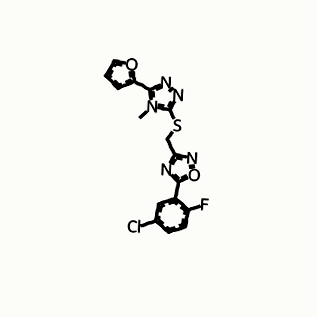 Cn1c(SCc2noc(-c3cc(Cl)ccc3F)n2)nnc1-c1ccco1